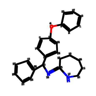 c1ccc(Oc2ccc(C(N=C3CCCCCN3)c3ccccc3)cc2)cc1